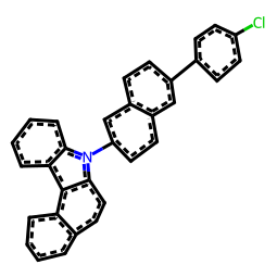 Clc1ccc(-c2ccc3cc(-n4c5ccccc5c5c6ccccc6ccc54)ccc3c2)cc1